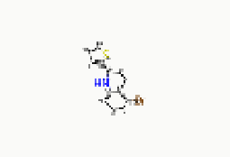 Brc1cccc2c1CCC(c1cccs1)N2